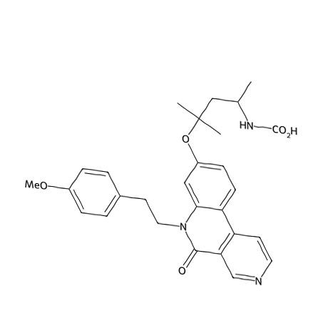 COc1ccc(CCn2c(=O)c3cnccc3c3ccc(OC(C)(C)CC(C)NC(=O)O)cc32)cc1